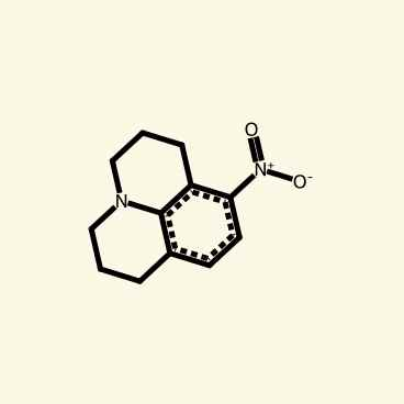 O=[N+]([O-])c1ccc2c3c1CCCN3CCC2